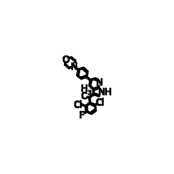 CC(c1c(Cl)ccc(F)c1Cl)c1c[nH]c2ncc(-c3ccc(N4CCOCC4)cc3)cc12